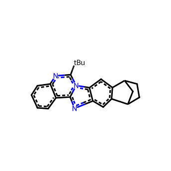 CC(C)(C)c1nc2ccccc2c2nc3cc4c(cc3n12)C1CCC4C1